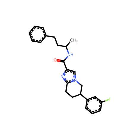 CC(CCc1ccccc1)NC(=O)c1cn2c(n1)CCC(c1cccc(F)c1)C2